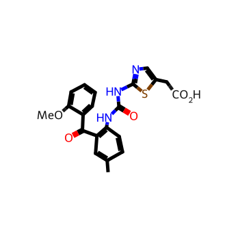 COc1ccccc1C(=O)c1cc(C)ccc1NC(=O)Nc1ncc(CC(=O)O)s1